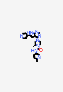 Cc1ccc(NC(=O)N2CCN(c3ncnc4[nH]c(-c5ccncc5)cc34)C[C@@H]2C)cn1